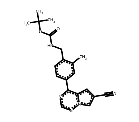 Cc1cc(-c2ncnn3cc(C#N)cc23)ccc1CNC(=O)OC(C)(C)C